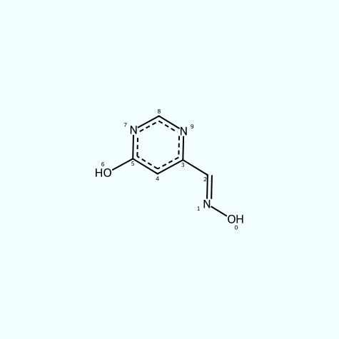 O/N=C/c1cc(O)ncn1